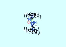 CC(C)(C)[C@@H]1C(CN2CCNC(C3CN(C[C@@H]4[C@H](F)C[C@@H](C(C)(C)C)N4C(C)(C)C)CCO3)C2)[C@@]2(C)CC2N1C(C)(C)C